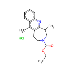 CCOC(=O)N1CCc2c(nc3ccccc3c2C)C(C)C1.Cl